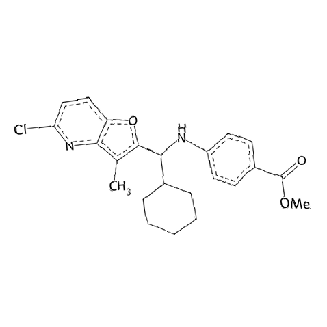 COC(=O)c1ccc(NC(c2oc3ccc(Cl)nc3c2C)C2CCCCC2)cc1